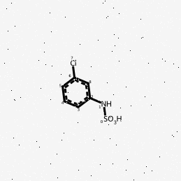 O=S(=O)(O)Nc1cc[c]c(Cl)c1